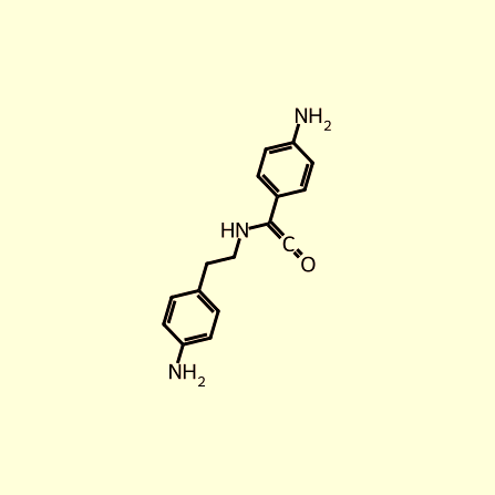 Nc1ccc(CCNC(=C=O)c2ccc(N)cc2)cc1